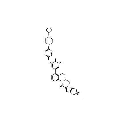 Cn1cc(-c2ccnc(N3CCn4c(cc5c4CC(C)(C)C5)C3=O)c2CO)cc(Nc2cnc(N3CCN(C4COC4)CC3)cn2)c1=O